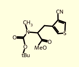 COC(=O)C(Cc1cscc1C#N)N(C)C(=O)OC(C)(C)C